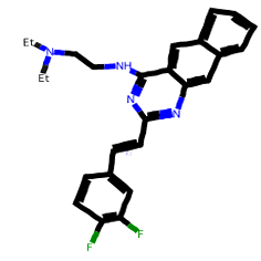 CCN(CC)CCNc1nc(/C=C/c2ccc(F)c(F)c2)nc2cc3ccccc3cc12